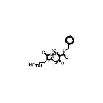 C[C@@H](C(=O)C(=[N+]=[N-])C(=O)OCc1ccccc1)[C@H]1NC(=O)[C@@H]1CCNC#N